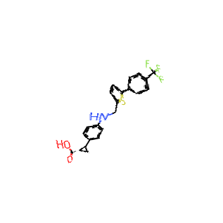 O=C(O)[C@H]1CC1c1ccc(NCc2ccc(-c3ccc(C(F)(F)F)cc3)s2)cc1